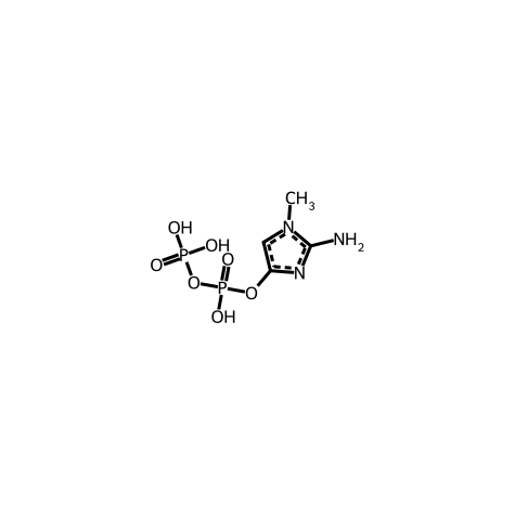 Cn1cc(OP(=O)(O)OP(=O)(O)O)nc1N